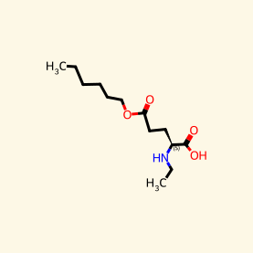 CCCCCCOC(=O)CC[C@H](NCC)C(=O)O